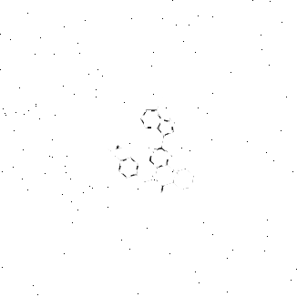 CS(=O)(=O)c1ccc(CN2C(=O)C3COCCN3c3nc(-c4c[nH]c5c(Cl)cccc45)ncc32)cc1